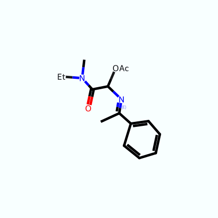 CCN(C)C(=O)C(/N=C(\C)c1ccccc1)OC(C)=O